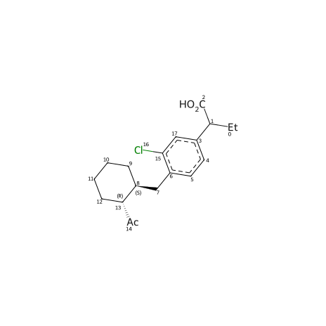 CCC(C(=O)O)c1ccc(C[C@@H]2CCCC[C@H]2C(C)=O)c(Cl)c1